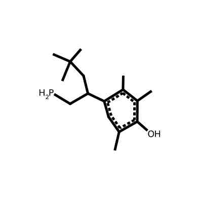 Cc1cc(C(CP)CC(C)(C)C)c(C)c(C)c1O